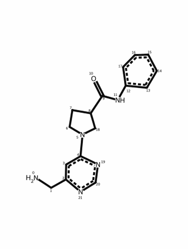 NCc1cc(N2CCC(C(=O)Nc3ccccc3)C2)ncn1